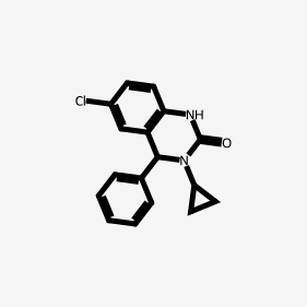 O=C1Nc2ccc(Cl)cc2C(c2ccccc2)N1C1CC1